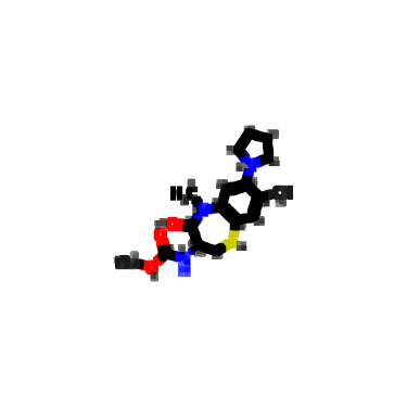 CN1C(=O)[C@@H](NC(=O)OC(C)(C)C)CSc2cc(C#N)c(N3CCCC3)cc21